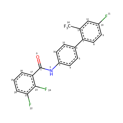 O=C(Nc1ccc(-c2ccc(F)cc2C(F)(F)F)cc1)c1cccc(F)c1F